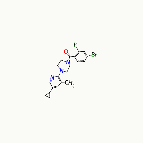 Cc1cc(C2CC2)cnc1N1CCN(C(=O)c2ccc(Br)cc2F)CC1